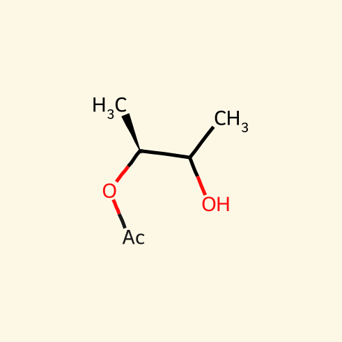 CC(=O)O[C@@H](C)C(C)O